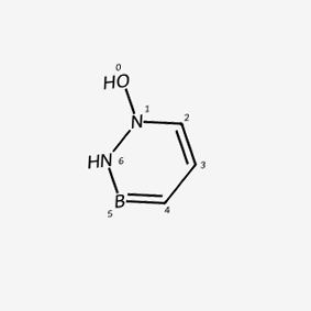 ON1C=CC=BN1